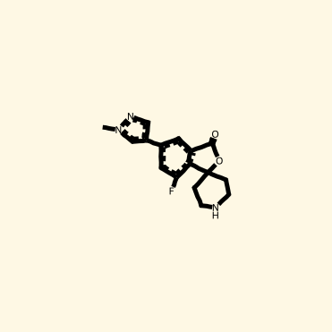 Cn1cc(-c2cc(F)c3c(c2)C(=O)OC32CCNCC2)cn1